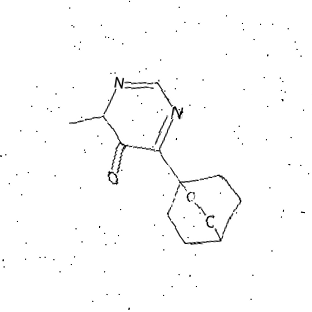 CC1N=[C]N=C(C23CCC(CC2)CO3)C1=O